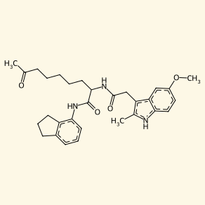 COc1ccc2[nH]c(C)c(CC(=O)NC(CCCCCC(C)=O)C(=O)Nc3cccc4c3CCC4)c2c1